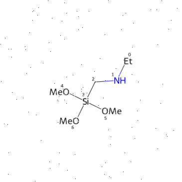 CCNC[Si](OC)(OC)OC